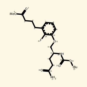 COC(=O)CCCc1cccc(OC[C@H](CCC(N)=O)NC(=O)OC(C)(C)C)c1F